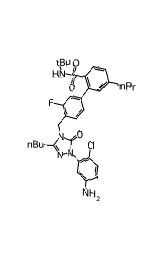 CCCCc1nn(-c2cc(N)ccc2Cl)c(=O)n1Cc1ccc(-c2cc(CCC)ccc2S(=O)(=O)NC(C)(C)C)cc1F